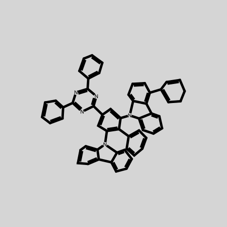 C1=CC(c2cccc3c2c2ccccc2n3-c2cc(-c3nc(-c4ccccc4)nc(-c4ccccc4)n3)cc(-n3c4ccccc4c4ccccc43)c2-c2ccccc2)=CCC1